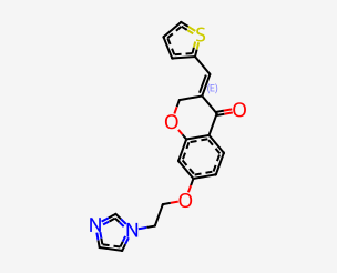 O=C1/C(=C/c2cccs2)COc2cc(OCCn3ccnc3)ccc21